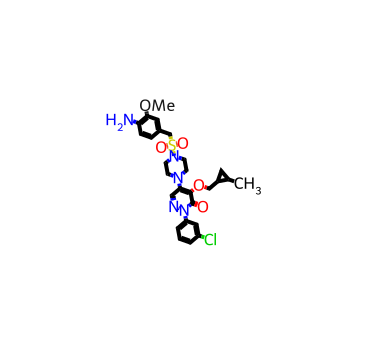 COc1cc(CS(=O)(=O)N2CCN(c3cnn(-c4cccc(Cl)c4)c(=O)c3OCC3CC3C)CC2)ccc1N